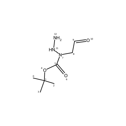 CC(C)(C)OC(=O)N(CC=O)NN